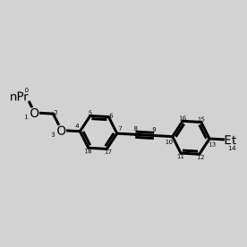 CCCOCOc1ccc(C#Cc2ccc(CC)cc2)cc1